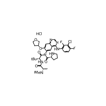 CN[C@@H](C)C(=O)N[C@H](C(=O)N(C(=O)[C@@H]1CCCN1)c1cc2c(Nc3ccc(F)c(Cl)c3F)ncnc2cc1O[C@H]1CCOC1)C(C)(C)C.Cl